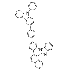 c1ccc(-n2c3ccccc3c3cc(-c4ccc(-c5ccc6c7ccc8ccccc8c7c7nc8ccccc8n7c6c5)cc4)ccc32)cc1